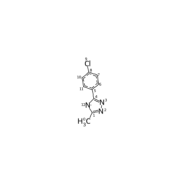 CC1=NN=C(c2ccc(Cl)cc2)[N]1